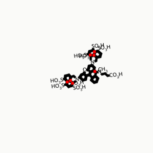 CN(CCCC(=O)O)C(=O)c1ccccc1-c1c2ccc(=[N+](Cc3ccc(S(=O)(=O)O)cc3S(=O)(=O)O)Cc3ccc(S(=O)(=O)O)cc3S(=O)(=O)O)cc-2oc2cc(N(Cc3ccc(S(=O)(=O)O)cc3S(=O)(=O)O)Cc3ccc(S(=O)(=O)O)cc3S(=O)(=O)O)ccc12